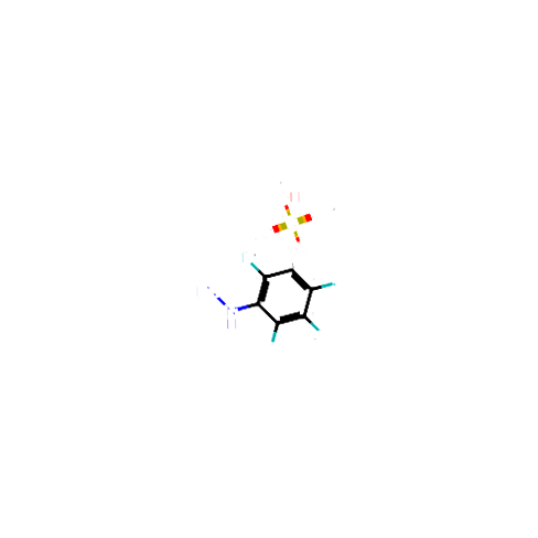 NNc1c(F)cc(F)c(F)c1F.O=S(=O)(O)O